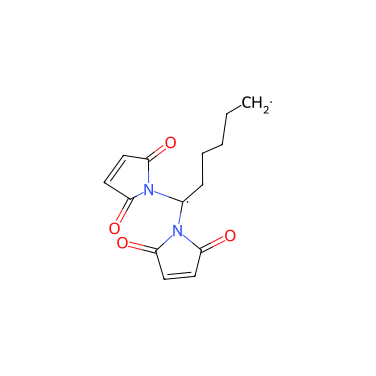 [CH2]CCCC[C](N1C(=O)C=CC1=O)N1C(=O)C=CC1=O